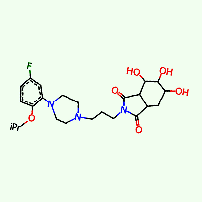 CC(C)Oc1ccc(F)cc1N1CCN(CCCN2C(=O)C3CC(O)C(O)C(O)C3C2=O)CC1